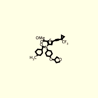 COC(=O)c1sc(C#CC2(C(F)(F)F)CC2)cc1N(C(=O)C1CCC(C)CC1)C1CCC(OC2CCOC2)CC1